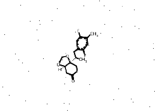 Cc1cc(F)c(CC(C)[C@]23CCC(=O)C[C@H]2OCO3)cc1F